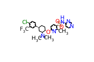 Cc1nc(O[C@H]2CC[C@H](c3ccc(Cl)c(C(F)(F)F)c3)C[C@@H]2N(C)C)ccc1S(=O)(=O)Nc1ccncn1